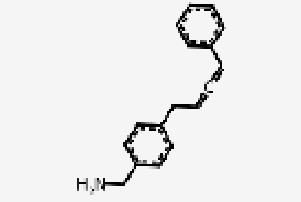 NCc1ccc(CC=C=Cc2ccccc2)cc1